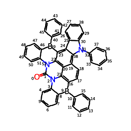 O=C1N2c3ccccc3B(c3ccccc3)c3ccc4c(c32)c2c(c3c5ccccc5n(-c5ccccc5)c43)B(c3ccccc3)c3ccccc3N12